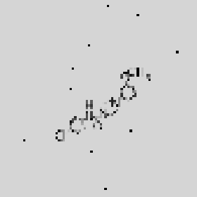 COc1cccc(N2CCN(C(=O)Nc3ccc(Cl)cc3)CC2)c1